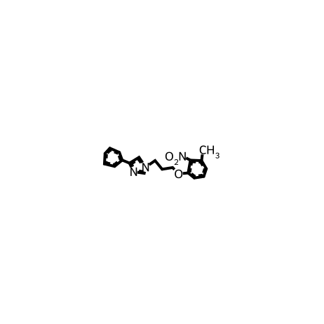 Cc1cccc(OCCCn2cnc(-c3ccccc3)c2)c1[N+](=O)[O-]